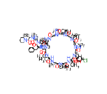 CC[C@H](C)C(NC(=O)[C@H](CC(C)C)N(C)C(=O)[C@H](Cc1ccccc1)N(C)C(=O)C1NC(=O)[C@H]([C@@H](C)CC)NC(=O)[C@H](CC(C)C)NC(=O)[C@H](C)N(C)C(=O)[C@H](CC(C)C)N(C)C(=O)[C@H](CC(C)C)NC(=O)[C@H](Cc2cccc(Cl)c2)N(C)C(=O)[C@H]([C@@H](C)O)NC(=O)[C@H](C)N(C)C(=O)[C@H](C(C)C)NC(=O)[C@H](C)N(C)C1=O)C(=O)N1CCCCC1